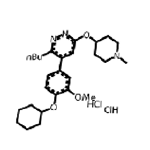 CCCCc1nnc(OC2CCN(C)CC2)cc1-c1ccc(OC2CCCCC2)c(OC)c1.Cl.Cl